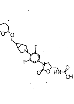 CC(=O)NC[C@H]1CN(c2cc(F)c(N3CC4C(COC5CCCCO5)C4C3)c(F)c2)C(=O)O1